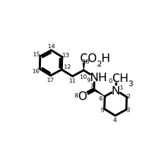 CN1CCCC[C@H]1C(=O)N[C@@H](Cc1ccccc1)C(=O)O